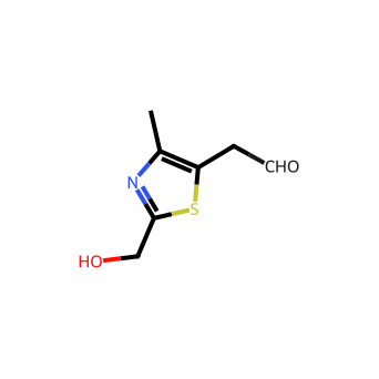 Cc1nc(CO)sc1CC=O